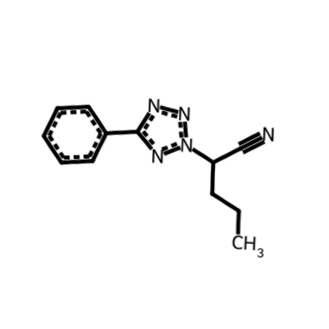 CCCC(C#N)n1nnc(-c2ccccc2)n1